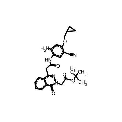 CC(C)(C)OC(=O)Cn1nc(CC(=O)Nc2cc(C#N)c(OCC3CC3)cc2N)c2ccccc2c1=O